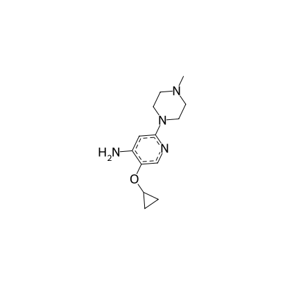 CN1CCN(c2cc(N)c(OC3CC3)cn2)CC1